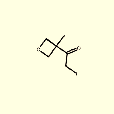 CC1(C(=O)CI)COC1